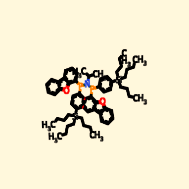 CCCC[Si](CCCC)(CCCC)c1ccc(P(c2cccc3c2oc2ccccc23)N(C(C)C)P(c2ccc([Si](CCCC)(CCCC)CCCC)cc2)c2cccc3c2oc2ccccc23)cc1